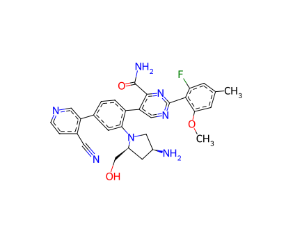 COc1cc(C)cc(F)c1-c1ncc(-c2ccc(-c3cnccc3C#N)cc2N2C[C@@H](N)C[C@H]2CO)c(C(N)=O)n1